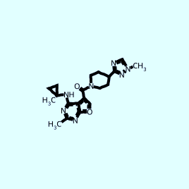 Cc1nc(NC2(C)CC2)c2c(C(=O)N3CCC(c4ncn(C)n4)CC3)coc2n1